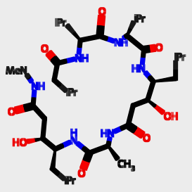 CNNC(=O)C[C@H](O)[C@H](CC(C)C)NC(=O)[C@H](C)NC(=O)C[C@H](O)[C@H](CC(C)C)NC(=O)[C@@H](NC(=O)[C@@H](NC(=O)CC(C)C)C(C)C)C(C)C